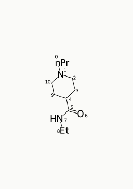 CCCN1CCC(C(=O)NCC)CC1